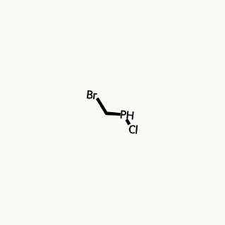 ClPCBr